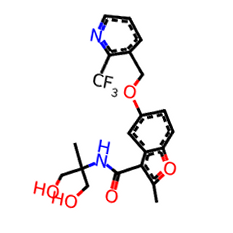 Cc1oc2ccc(OCc3cccnc3C(F)(F)F)cc2c1C(=O)NC(C)(CO)CO